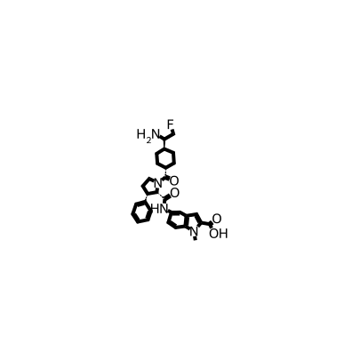 Cn1c(C(=O)O)cc2cc(NC(=O)[C@@H]3[C@H](c4ccccc4)CCN3C(=O)[C@H]3CC[C@H](C(N)CF)CC3)ccc21